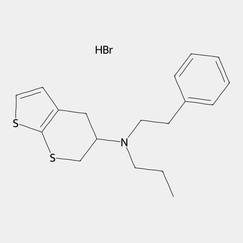 Br.CCCN(CCc1ccccc1)C1CSc2sccc2C1